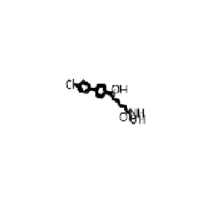 O=C(CCCC[C@@H](O)c1ccc(-c2ccc(Cl)cc2)cc1)NO